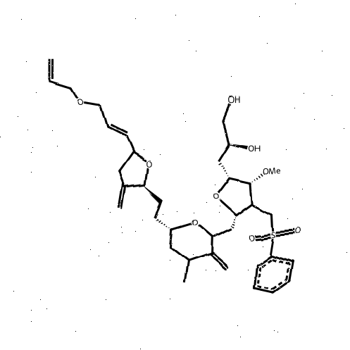 C=CCOC/C=C/C1CC(=C)[C@H](CC[C@H]2CC(C)C(=C)C(C[C@@H]3O[C@H](C[C@H](O)CO)[C@H](OC)C3CS(=O)(=O)c3ccccc3)O2)O1